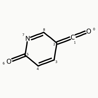 O=C=C1C=CC(=O)N=C1